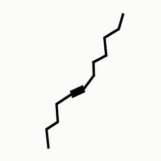 CCCCC#CCCCCCC